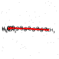 CCCCOC(=O)CCCCCOC(=O)CCCCCOC(=O)CCCCCOC(=O)CCCCCOC(=O)CCCCCOC(=O)CCCCCOC(=O)CCCCCOC(=O)CCCCCOC(=O)CCC(=O)OC1CC(C)(C)N(C)C(C)(C)C1